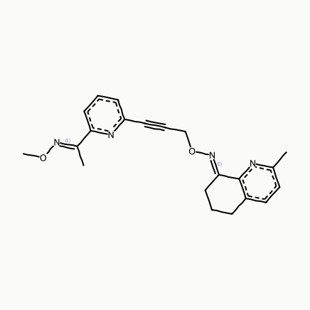 CO/N=C(\C)c1cccc(C#CCO/N=C2\CCCc3ccc(C)nc32)n1